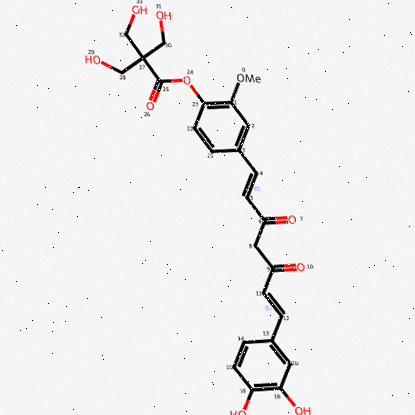 COc1cc(/C=C/C(=O)CC(=O)/C=C/c2ccc(O)c(O)c2)ccc1OC(=O)C(CO)(CO)CO